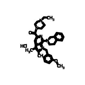 CCN1CCN(C(=O)c2cc3c(C)c(C)n(Cc4cccc(OC)c4)c3c(N3CCc4ccccc4C3)n2)CC1.Cl